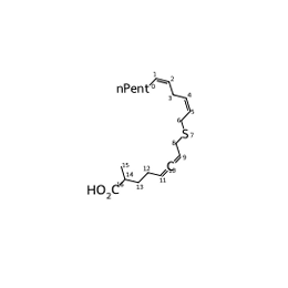 CCCCC/C=C\C/C=C\CSCC=C=CCCC(C)C(=O)O